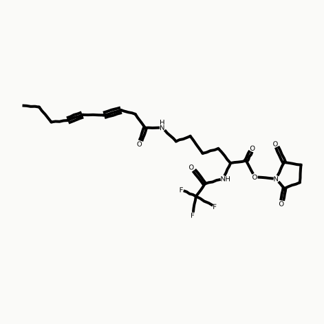 CCCC#CC#CCC(=O)NCCCCC(NC(=O)C(F)(F)F)C(=O)ON1C(=O)CCC1=O